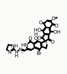 COC1=CC(=O)c2c(O)c3c(c(O)c2C1=O)C(=O)[C@]1(CCc2c1c(O)c1c(=O)[nH]c(/C=N/NC4=NCCN4)cc1c2Br)C3=O